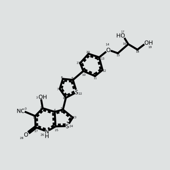 N#Cc1c(O)c2c(-c3ccc(-c4ccc(OCC(O)CO)cc4)s3)csc2[nH]c1=O